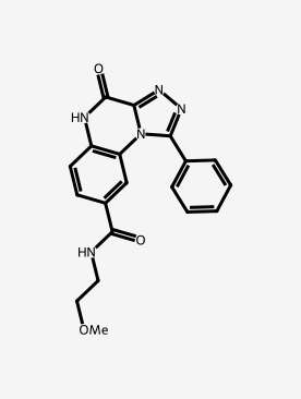 COCCNC(=O)c1ccc2[nH]c(=O)c3nnc(-c4ccccc4)n3c2c1